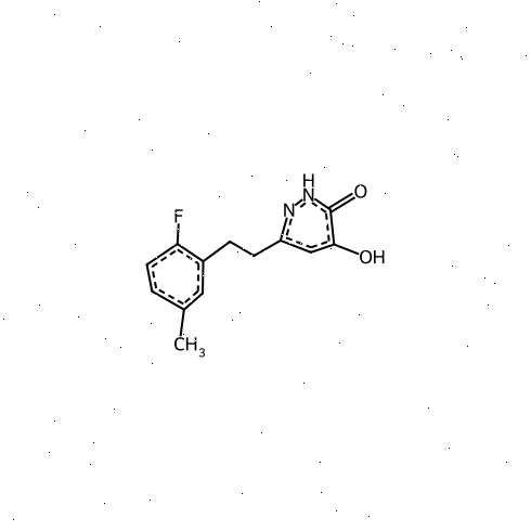 Cc1ccc(F)c(CCc2cc(O)c(=O)[nH]n2)c1